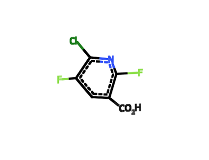 O=C(O)c1cc(F)c(Cl)nc1F